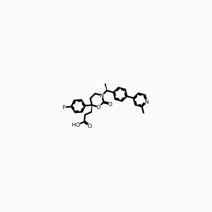 Cc1cc(-c2ccc([C@H](C)N3CC[C@@](CCC(=O)O)(c4ccc(F)cc4)OC3=O)cc2)ccn1